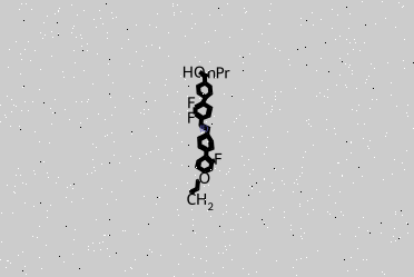 C=CCCOc1ccc(-c2ccc(/C=C/c3ccc(C4CCC(C(O)CCC)CC4)c(F)c3F)cc2)c(F)c1